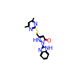 Cc1cc(C)nc(SCc2cc(=O)n(-c3nc4ccccc4[nH]3)[nH]2)n1